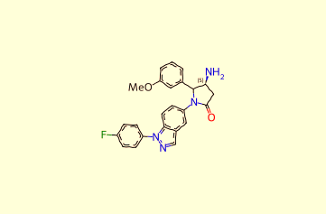 COc1cccc(C2[C@@H](N)CC(=O)N2c2ccc3c(cnn3-c3ccc(F)cc3)c2)c1